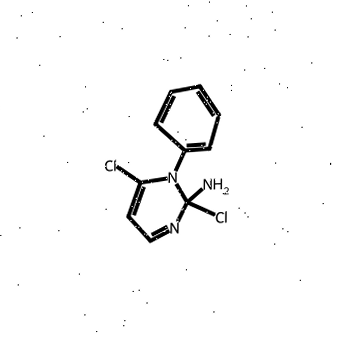 NC1(Cl)N=CC=C(Cl)N1c1ccccc1